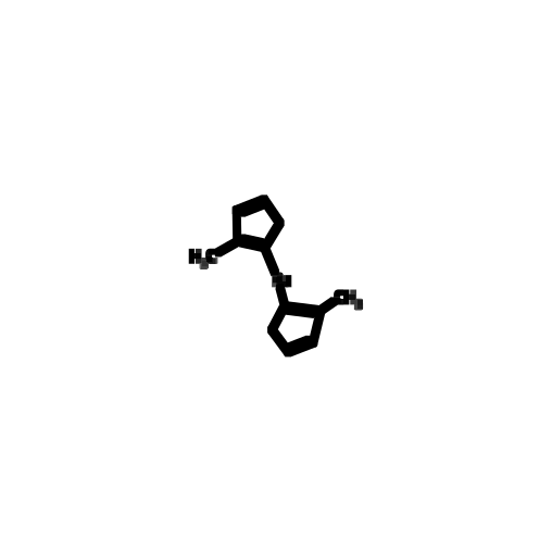 CC1=[C]([Ru][C]2=C(C)C=CC2)CC=C1